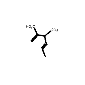 C=C(C(=O)O)C(/C=C/C)C(=O)O